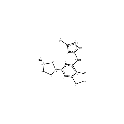 CC(C)c1cc(Nc2nc(N3[CH]C[C@H](O)C3)nc3c2CCC3)n[nH]1